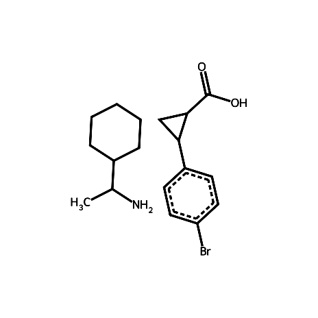 CC(N)C1CCCCC1.O=C(O)C1CC1c1ccc(Br)cc1